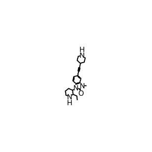 CCC1NCCCC1n1c(=O)n(C)c2cc(C#CC3CCNCC3)ccc21